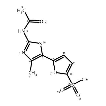 CC(=O)Nc1nc(C)c(-c2ccc(S(=O)(=O)Cl)o2)s1